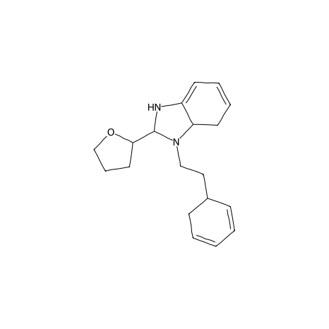 C1=CCC(CCN2C3CC=CC=C3NC2C2CCCO2)C=C1